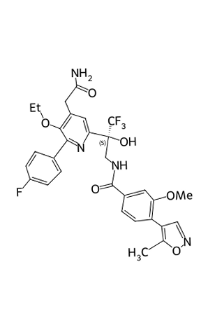 CCOc1c(CC(N)=O)cc([C@@](O)(CNC(=O)c2ccc(-c3cnoc3C)c(OC)c2)C(F)(F)F)nc1-c1ccc(F)cc1